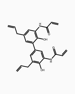 C=CCc1cc(NC(=O)C=C)c(O)c(-c2cc(CC=C)c(O)c(NC(=O)C=C)c2)c1